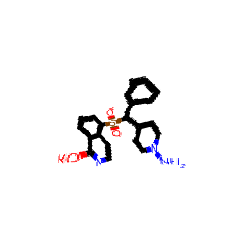 NN1CCC(C(c2ccccc2)S(=O)(=O)c2cccc3c(O)nccc23)CC1